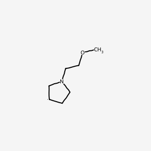 COCCN1C[CH]CC1